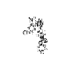 CN1Cc2cc(Cl)ccc2-n2c(nnc2C2CC3(C2)CN(C(=O)OC2CCOCC2)C3)C1